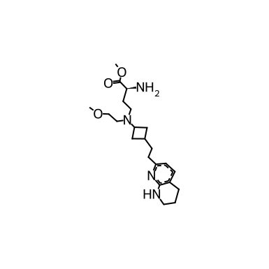 COCCN(CC[C@H](N)C(=O)OC)C1CC(CCc2ccc3c(n2)NCCC3)C1